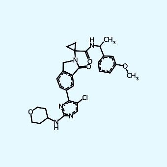 COc1cccc(C(C)NC(=O)C2(N3Cc4ccc(-c5nc(NC6CCOCC6)ncc5Cl)cc4C3=O)CC2)c1